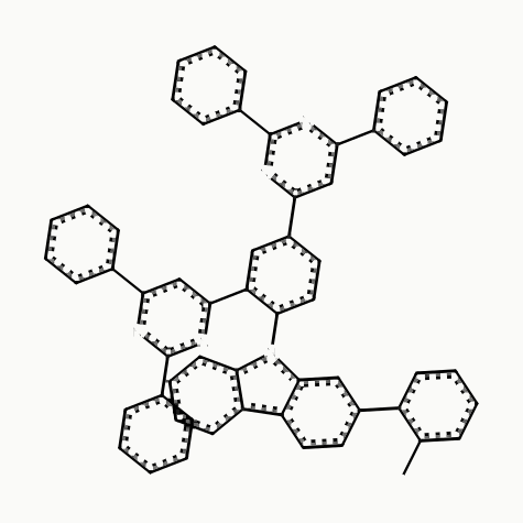 Cc1ccccc1-c1ccc2c3ccccc3n(-c3ccc(-c4cc(-c5ccccc5)nc(-c5ccccc5)n4)cc3-c3cc(-c4ccccc4)nc(-c4ccccc4)n3)c2c1